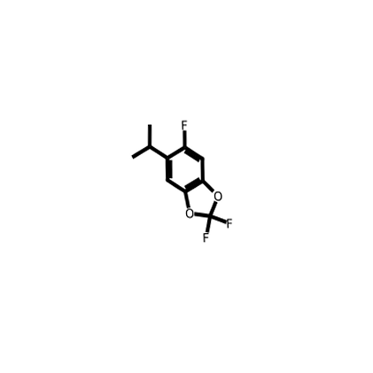 CC(C)c1cc2c(cc1F)OC(F)(F)O2